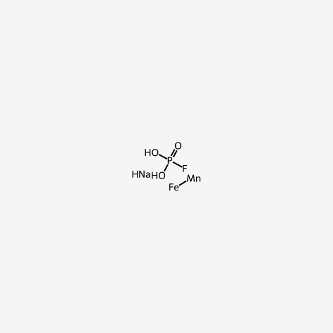 O=P(O)(O)F.[Mn][Fe].[NaH]